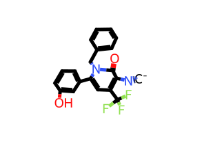 [C-]#[N+]c1c(C(F)(F)F)cc(-c2cccc(O)c2)n(Cc2ccccc2)c1=O